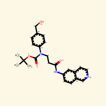 CC(C)(C)OC(=O)N(CCC(=O)Nc1ccc2cnccc2c1)c1ccc(CO)cc1